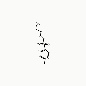 CCCCCCCCCCCCS(=O)(=O)c1ccc(C)cc1